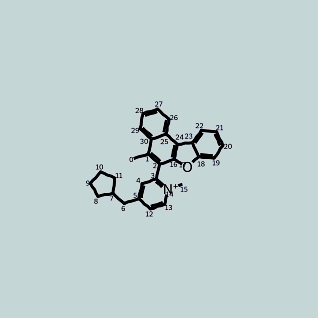 Cc1c(-c2cc(CC3CCCC3)cc[n+]2C)c2oc3ccccc3c2c2ccccc12